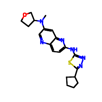 CN(c1cnc2ccc(Nc3nnc(C4CCCC4)s3)nc2c1)C1CCOC1